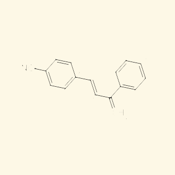 C=C(/C=C/c1ccc(C#N)cc1)c1ccccc1